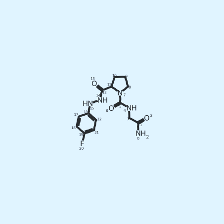 NC(=O)CNC(=O)N1CCCC1C(=O)NNc1ccc(F)cc1